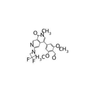 COc1cc(-c2cn(C)c(=O)c3cnc(N4CC(F)(F)C4)cc23)cc(OC)c1C=O